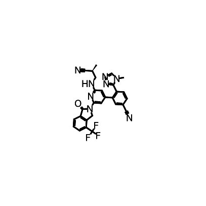 C[C@H](C#N)CNc1cc(-c2cc(C#N)ccc2-c2nncn2C)cc(N2Cc3c(cccc3C(F)(F)F)C2=O)n1